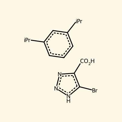 CC(C)c1cccc(C(C)C)c1.O=C(O)c1nn[nH]c1Br